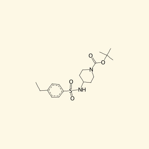 CCc1ccc(S(=O)(=O)NC2CCN(C(=O)OC(C)(C)C)CC2)cc1